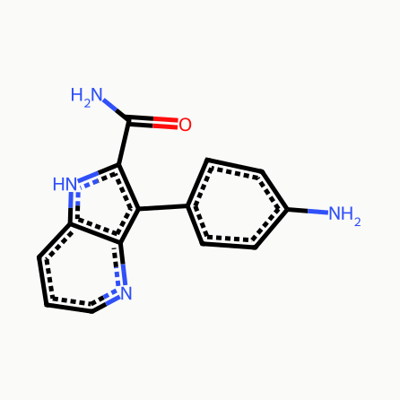 NC(=O)c1[nH]c2cccnc2c1-c1ccc(N)cc1